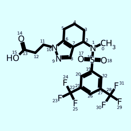 CN(C1CCCc2c1cnn2CCC(=O)O)S(=O)(=O)c1cc(C(F)(F)F)cc(C(F)(F)F)c1